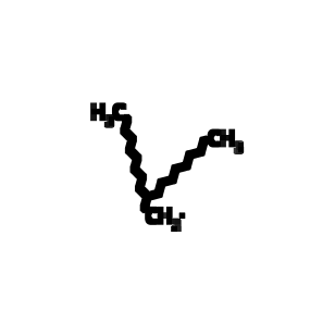 [CH2]CC(CCCCCCCCC)CCCCCCCCC